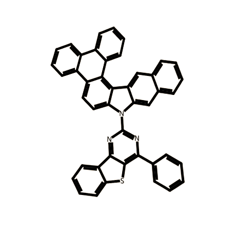 c1ccc(-c2nc(-n3c4cc5ccccc5cc4c4c5c6ccccc6c6ccccc6c5ccc43)nc3c2sc2ccccc23)cc1